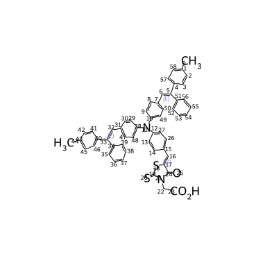 Cc1ccc(/C(=C/c2ccc(N(c3ccc(/C=C4\SC(=S)N(CC(=O)O)C4=O)cc3)c3ccc(/C=C(\c4ccccc4)c4ccc(C)cc4)cc3)cc2)c2ccccc2)cc1